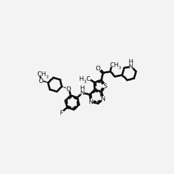 CO[C@H]1CC[C@H](Oc2cc(F)ccc2Nc2ncnc3sc(C(=O)C(C)CC4CCCNC4)c(C)c23)CC1